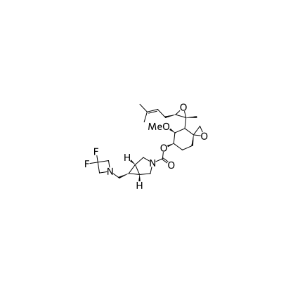 CO[C@H]1C([C@@]2(C)O[C@@H]2CC=C(C)C)[C@]2(CC[C@H]1OC(=O)N1C[C@@H]3[C@@H](CN4CC(F)(F)C4)[C@@H]3C1)CO2